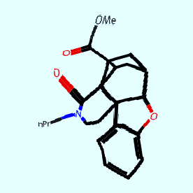 CCCN1CCC23c4ccccc4OC2C2CCC3(C1=O)C(C(=O)OC)C2